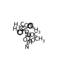 CC1(C)O[C@@H]2[C@@H](CO[Si](c3ccccc3)(c3ccccc3)C(C)(C)C)OC(C#N)[C@@H]2O1